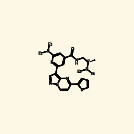 CCN(CC)c1cc(C(=O)NC[C@H](C)N(CC)CC)cc(-c2cnn3ccc(-c4cccs4)nc23)n1